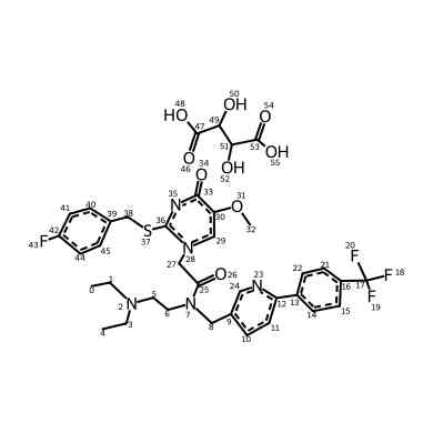 CCN(CC)CCN(Cc1ccc(-c2ccc(C(F)(F)F)cc2)nc1)C(=O)Cn1cc(OC)c(=O)nc1SCc1ccc(F)cc1.O=C(O)C(O)C(O)C(=O)O